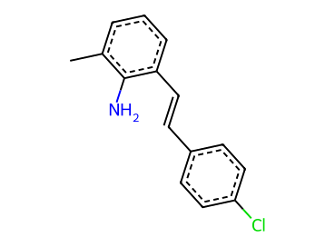 Cc1cccc(C=Cc2ccc(Cl)cc2)c1N